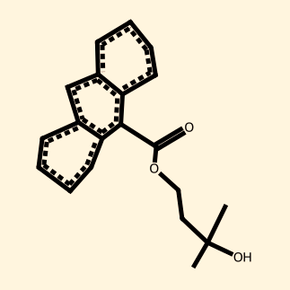 CC(C)(O)CCOC(=O)c1c2ccccc2cc2ccccc12